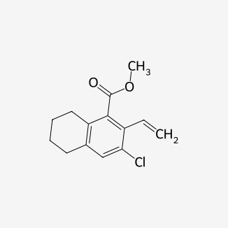 C=Cc1c(Cl)cc2c(c1C(=O)OC)CCCC2